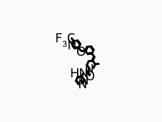 CC1CN(C(=O)Nc2cccnn2)CCC1=Cc1cccc(Oc2ccc(C(F)(F)F)nc2)c1